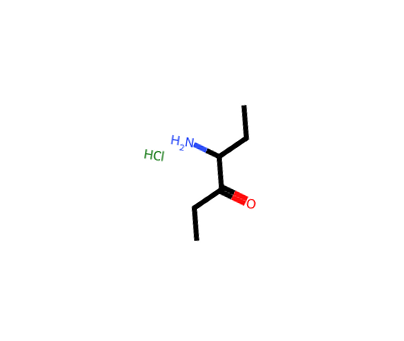 CCC(=O)C(N)CC.Cl